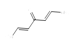 CCCCC=CC(=O)C=CCCCC